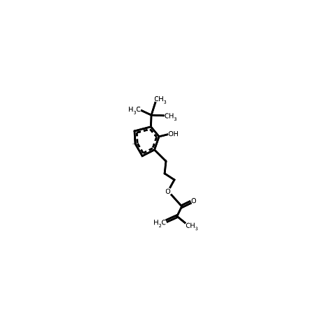 C=C(C)C(=O)OCCCc1c[c]cc(C(C)(C)C)c1O